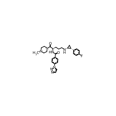 CN1CCN(C(=O)[C@@H](CCCN[C@@H]2C[C@@H]2c2ccc(F)cc2)NC(=O)c2ccc(-n3ccnn3)cc2)CC1